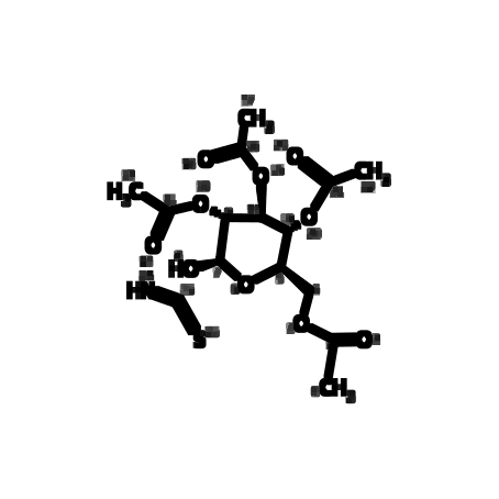 CC(=O)OC[C@H]1O[C@@H](O)[C@H](OC(C)=O)[C@@H](OC(C)=O)[C@@H]1OC(C)=O.N=C=S